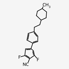 CC1CCC(CCc2ccc(-c3cc(F)c(C#N)c(F)c3)cc2)CC1